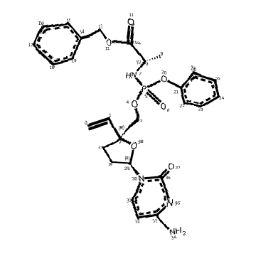 C=C[C@@]1(COP(=O)(N[C@@H](C)C(=O)OCc2ccccc2)Oc2ccccc2)CC[C@H](n2ccc(N)nc2=O)O1